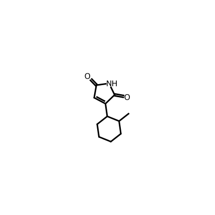 CC1CCCCC1C1=CC(=O)NC1=O